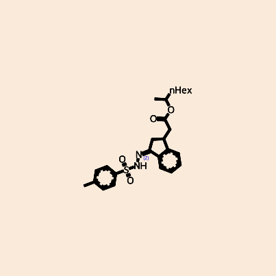 CCCCCCC(C)OC(=O)CC1C/C(=N/NS(=O)(=O)c2ccc(C)cc2)c2ccccc21